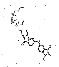 C=C[Si](C)(CCCN1C(=O)c2ccc(Oc3ccc4c(c3)C(=O)N(C)C4=O)cc2C1=O)O[Si](C)(C)O[Si](C)(C)CCCC